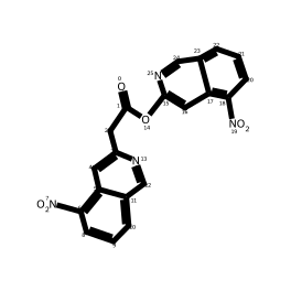 O=C(Cc1cc2c([N+](=O)[O-])cccc2cn1)Oc1cc2c([N+](=O)[O-])cccc2cn1